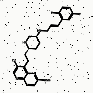 COc1ccc2ncc(Cl)c(CC[C@H]3CC[C@H](NCC=Cc4cc(F)ccc4F)CN3)c2n1